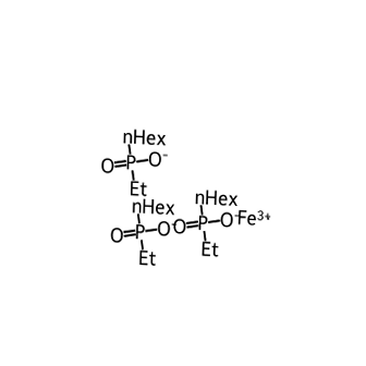 CCCCCCP(=O)([O-])CC.CCCCCCP(=O)([O-])CC.CCCCCCP(=O)([O-])CC.[Fe+3]